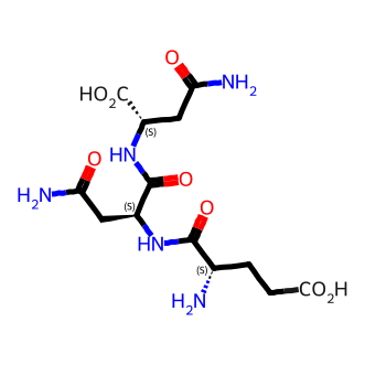 NC(=O)C[C@H](NC(=O)[C@H](CC(N)=O)NC(=O)[C@@H](N)CCC(=O)O)C(=O)O